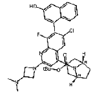 CN(C)C1CN(c2cc(N3C[C@H]4CC[C@@H](C3)N4C(=O)OC(C)(C)C)c3cc(Cl)c(-c4cc(O)cc5ccccc45)c(F)c3n2)C1